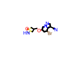 N#Cc1cnn2cc(OCC3CS(=N)(=O)C3)cc(Br)c12